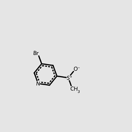 C[S+]([O-])c1cncc(Br)c1